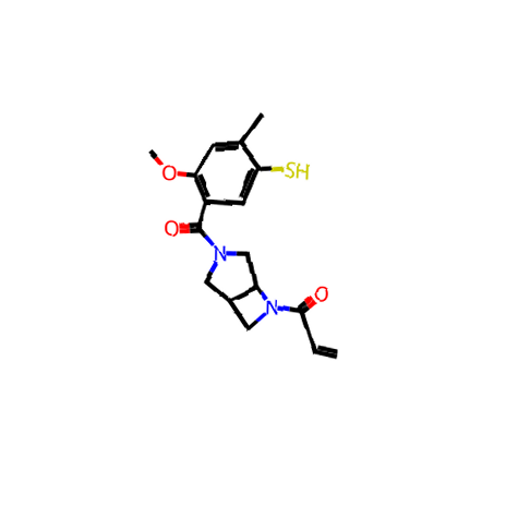 C=CC(=O)N1CC2CN(C(=O)c3cc(S)c(C)cc3OC)CC21